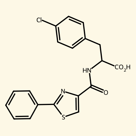 O=C(NC(Cc1ccc(Cl)cc1)C(=O)O)c1csc(-c2ccccc2)n1